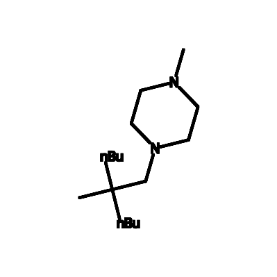 CCCCC(C)(CCCC)CN1CCN(C)CC1